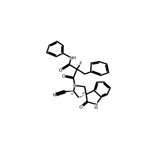 N#C[C@@H]1C[C@@]2(CN1C(=O)C(F)(Cc1ccccc1)C(=O)Nc1ccccc1)C(=O)Nc1ccccc12